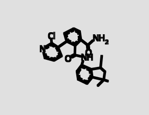 CC1CC(C)(C)c2cccc(NC(=O)c3c(C(N)=O)cccc3-c3cccnc3Cl)c21